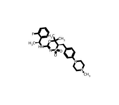 C[C@H](NC1=NS(=O)(=O)[C@H](Cc2ccc(N3CCN(C)CC3)cc2)C(C)(C)O1)c1ccccc1F